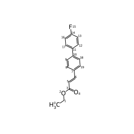 CCOC(=O)C=Cc1ccc(-c2ccc(F)cc2)cc1